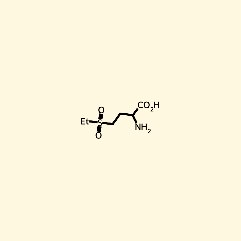 CCS(=O)(=O)CCC(N)C(=O)O